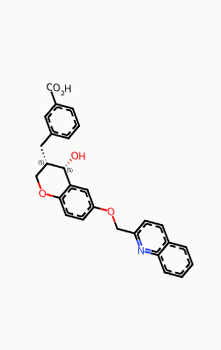 O=C(O)c1cccc(C[C@H]2COc3ccc(OCc4ccc5ccccc5n4)cc3[C@H]2O)c1